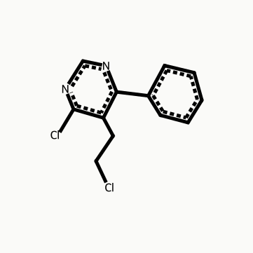 ClCCc1c(Cl)ncnc1-c1ccccc1